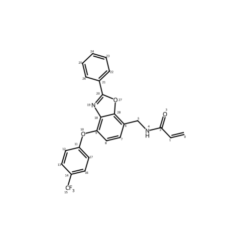 C=CC(=O)NCc1ccc(Oc2ccc(C(F)(F)F)cc2)c2nc(-c3ccccc3)oc12